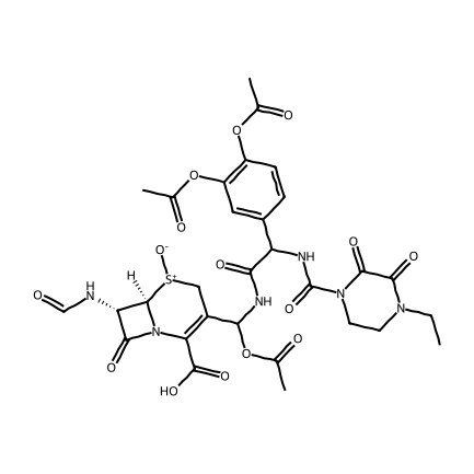 CCN1CCN(C(=O)NC(C(=O)NC(OC(C)=O)C2=C(C(=O)O)N3C(=O)[C@H](NC=O)[C@H]3[S+]([O-])C2)c2ccc(OC(C)=O)c(OC(C)=O)c2)C(=O)C1=O